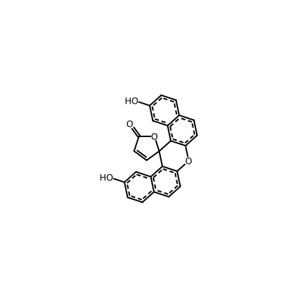 O=C1C=CC2(O1)c1c(ccc3ccc(O)cc13)Oc1ccc3ccc(O)cc3c12